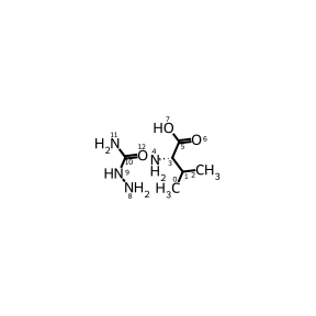 CC(C)[C@H](N)C(=O)O.NNC(N)=O